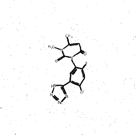 Cn1c(C(F)(F)F)cc(=O)n(-c2cc(-c3nnn[nH]3)c(Cl)cc2F)c1=O